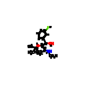 C[C@H](NC(=O)O)[C@H](O[Si](C)(C)C(C)(C)C)C(O)c1cccc(F)c1